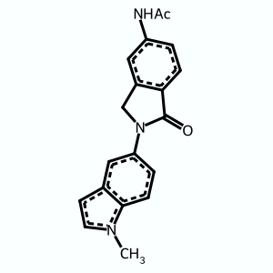 CC(=O)Nc1ccc2c(c1)CN(c1ccc3c(ccn3C)c1)C2=O